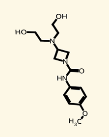 COc1ccc(NC(=O)N2CC(N(CCO)CCO)C2)cc1